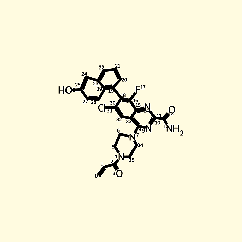 C=CC(=O)N1CCN(c2nc(C(N)=O)nc3c(F)c(-c4cccc5cc(O)ccc45)c(Cl)cc23)CC1